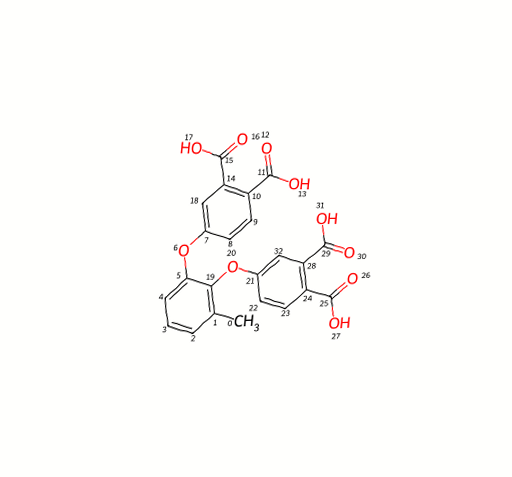 Cc1cccc(Oc2ccc(C(=O)O)c(C(=O)O)c2)c1Oc1ccc(C(=O)O)c(C(=O)O)c1